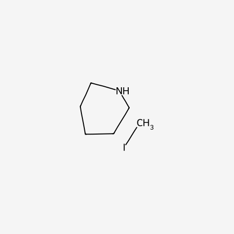 C1CCNCC1.CI